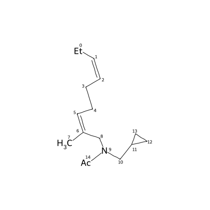 CC/C=C\CC/C=C(/C)CN(CC1CC1)C(C)=O